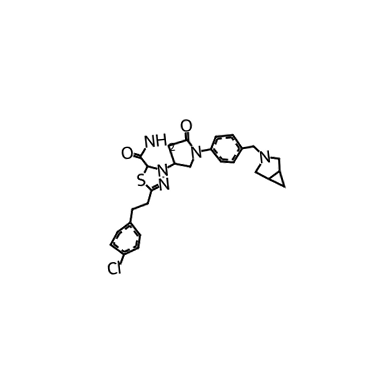 NC(=O)C1SC(CCc2ccc(Cl)cc2)=NN1C1CC(=O)N(c2ccc(CN3CC4CC4C3)cc2)C1